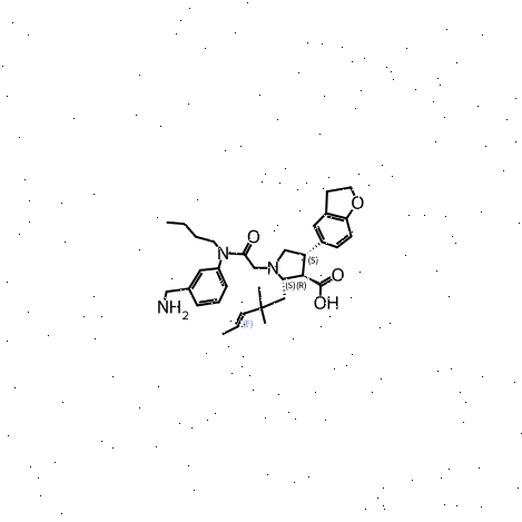 C/C=C/C(C)(C)C[C@H]1[C@H](C(=O)O)[C@@H](c2ccc3c(c2)CCO3)CN1CC(=O)N(CCCC)c1cccc(CN)c1